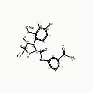 COCc1c([C@H]2[C@H](C(=O)Nc3ccnc(C(N)=O)c3)O[C@@](C)(C(F)(F)F)[C@H]2C)ccc(F)c1F